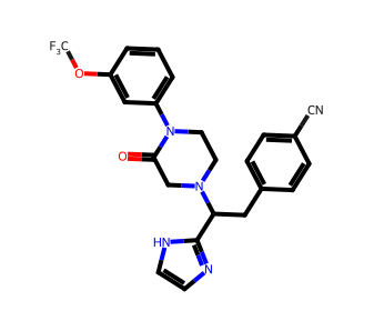 N#Cc1ccc(CC(c2ncc[nH]2)N2CCN(c3cccc(OC(F)(F)F)c3)C(=O)C2)cc1